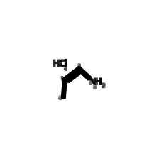 C/C=C\N.Cl